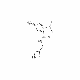 C=C1C=C(C(=O)NCC2CNC2)C(C(F)F)=C1